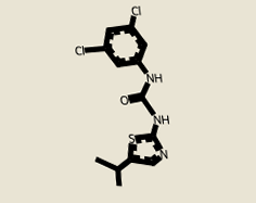 CC(C)c1cnc(NC(=O)Nc2cc(Cl)cc(Cl)c2)s1